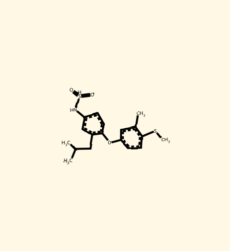 CSc1ccc(Oc2ccc(N[SH](=O)=O)cc2CC(C)C)cc1C